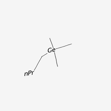 CCC[CH2][Ge]([CH3])([CH3])[CH3]